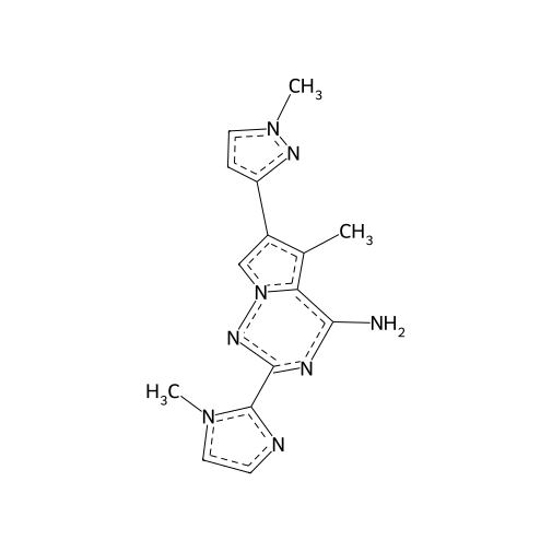 Cc1c(-c2ccn(C)n2)cn2nc(-c3nccn3C)nc(N)c12